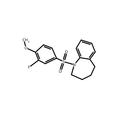 COc1ccc(S(=O)(=O)N2CCCCc3ccccc32)cc1F